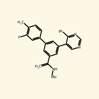 C=C(NC(C)(C)C)c1cc(-c2ccc(C)c(F)c2)cc(-c2cncnc2C(C)C)c1